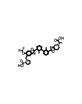 Cc1c(-c2nc3c(o2)CCN(C(C)C(=O)O)C3)cccc1-c1cccc(-c2nc3cc(CN4CCC[C@H]4C(=O)O)c(OC(F)F)cc3o2)c1C